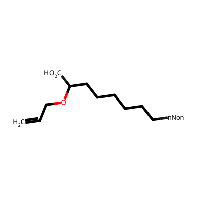 C=CCOC(CCCCCCCCCCCCCCC)C(=O)O